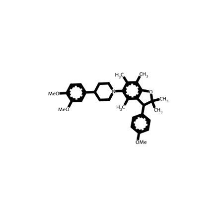 COc1ccc(C2c3c(C)c(N4CCC(c5ccc(OC)c(OC)c5)CC4)c(C)c(C)c3OC2(C)C)cc1